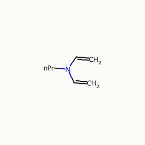 C=CN(C=C)CCC